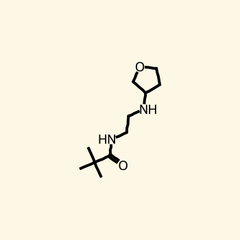 CC(C)(C)C(=O)NCCNC1CCOC1